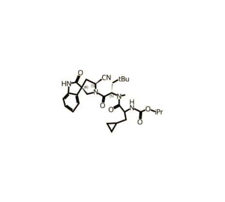 CC(C)OC(=O)NC(CC1CC1)C(=O)N(C)[C@@H](CC(C)(C)C)C(=O)N1C[C@]2(C[C@H]1C#N)C(=O)Nc1ccccc12